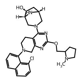 CN1CCCC1COc1nc2c(c(N3C[C@H]4C[C@H](O)[C@@H](C3)N4)n1)CCN(c1cccc3cccc(Cl)c13)C2